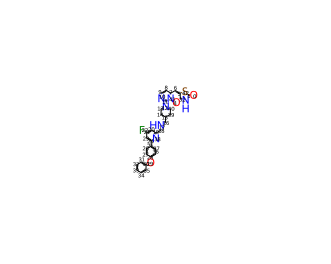 O=C1NC(=O)/C(=C\c2ccnc(N3CCC(CNCc4cc(F)cc(-c5ccc(Oc6ccccc6)cc5)n4)CC3)n2)S1